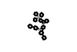 c1ccc(-c2ccc(-n3c4ccc(-c5ccccc5)cc4c4ccc(-n5c6ccccc6c6cc([Si](c7ccccc7)(c7ccccc7)c7ccccc7)ccc65)cc43)cc2)cc1